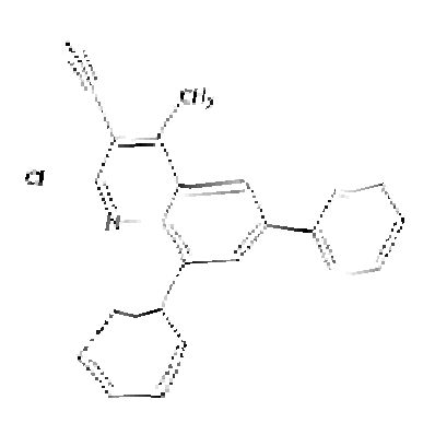 Cc1c(C#N)c(Cl)nc2c(-c3ccccc3)cc(-c3ccccc3)cc12